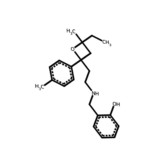 CCC1(C)CC(CCNCc2ccccc2O)(c2ccc(C)cc2)O1